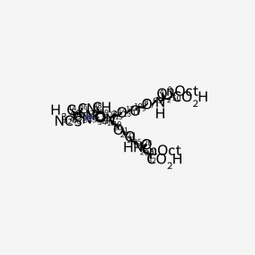 CCCCCCCCC(CC(=O)NCCOCCOCCOCCN(CCOCCOCCNC(=O)CC(CCCCCCCC)C(=O)O)c1ccc(/N=N/c2sc(C#N)c(C)c2C#N)c(C)c1)C(=O)O